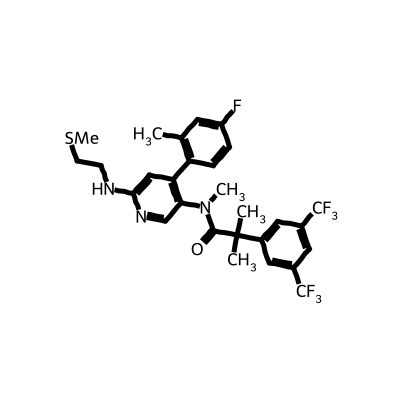 CSCCNc1cc(-c2ccc(F)cc2C)c(N(C)C(=O)C(C)(C)c2cc(C(F)(F)F)cc(C(F)(F)F)c2)cn1